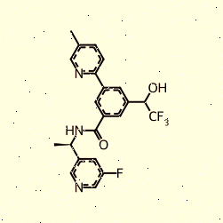 Cc1ccc(-c2cc(C(=O)N[C@H](C)c3cncc(F)c3)cc(C(O)C(F)(F)F)c2)nc1